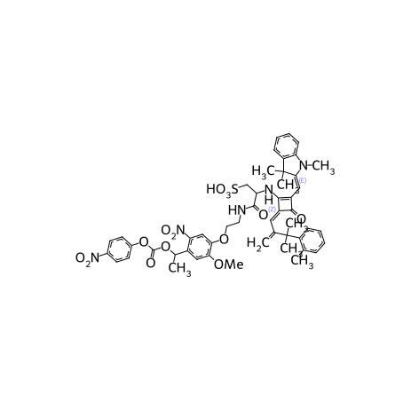 C=C(/C=C1\C(=O)C(/C=C2/N(C)c3ccccc3C2(C)C)=C1NC(CS(=O)(=O)O)C(=O)NCCOc1cc([N+](=O)[O-])c(C(C)OC(=O)Oc2ccc([N+](=O)[O-])cc2)cc1OC)C(C)(C)c1ccccc1C